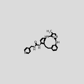 Cc1cnc2nc1Nc1ccc(NC(=O)NCc3ccncc3)c(c1)CCc1cccc(c1)N2